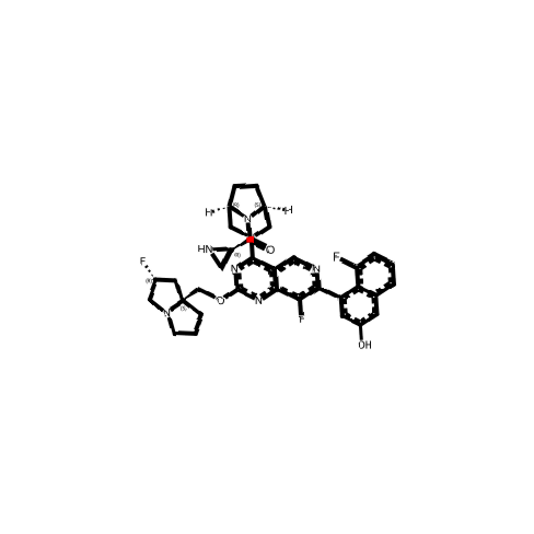 O=C([C@H]1CN1)N1[C@@H]2CC[C@H]1CN(c1nc(OC[C@@]34CCCN3C[C@H](F)C4)nc3c(F)c(-c4cc(O)cc5cccc(F)c45)ncc13)C2